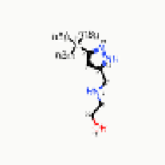 CCC[CH2][Sn]([CH2]CCC)([CH2]CCC)[c]1cc(CNCCO)[nH]n1